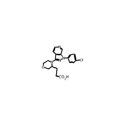 O=C(O)CCC1COCCN1c1nn(-c2ccc(Cl)cc2)c2cnccc12